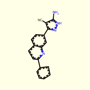 N#Cc1c(-c2ccc3ccc(-c4ccccc4)nc3c2)n[nH]c1N